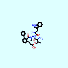 CCN(CN(C(=O)C(N)Cc1c[nH]c2ccccc12)C(=O)[C@@H](N)C(C)C)C(=O)c1c(CCC(O)O)cccc1-c1ccccc1